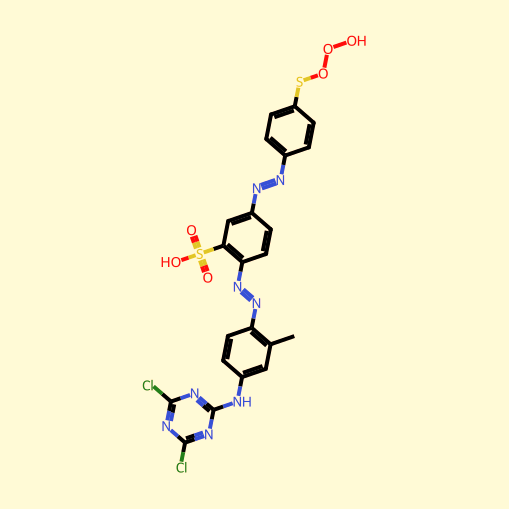 Cc1cc(Nc2nc(Cl)nc(Cl)n2)ccc1N=Nc1ccc(N=Nc2ccc(SOOO)cc2)cc1S(=O)(=O)O